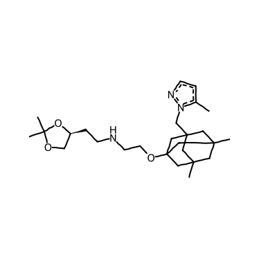 Cc1ccnn1CC12CC3(C)CC(C)(C1)CC(OCCNCC[C@H]1COC(C)(C)O1)(C3)C2